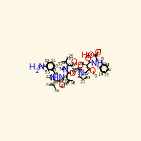 CO[C@H]([C@@H](C)C(=O)N[C@@H](Cc1ccccc1)C(=O)O)[C@@H]1CCCN1C(=O)C[C@@H](OC)[C@H](C(C)C)N(C)C(=O)[C@@H](NC(=O)[C@H](C(C)C)N(C)Cc1cccc(N)c1)C(C)C